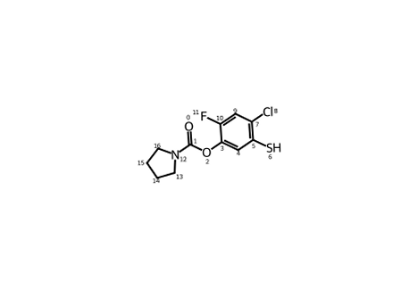 O=C(Oc1cc(S)c(Cl)cc1F)N1CCCC1